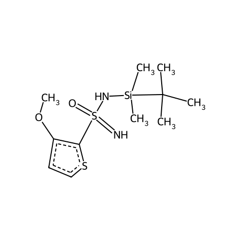 COc1ccsc1S(=N)(=O)N[Si](C)(C)C(C)(C)C